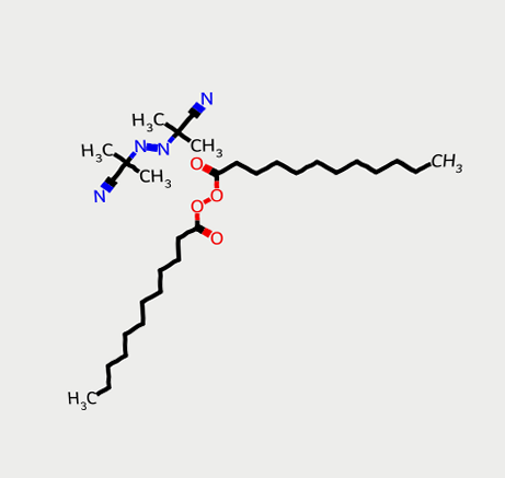 CC(C)(C#N)/N=N/C(C)(C)C#N.CCCCCCCCCCCC(=O)OOC(=O)CCCCCCCCCCC